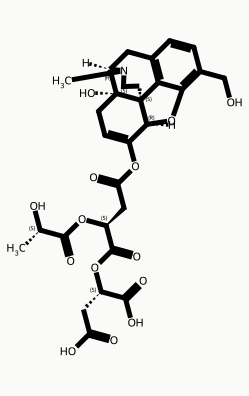 C[C@H](O)C(=O)O[C@@H](CC(=O)OC1=CC[C@@]2(O)[C@H]3Cc4ccc(CO)c5c4[C@@]2(CCN3C)[C@H]1O5)C(=O)O[C@@H](CC(=O)O)C(=O)O